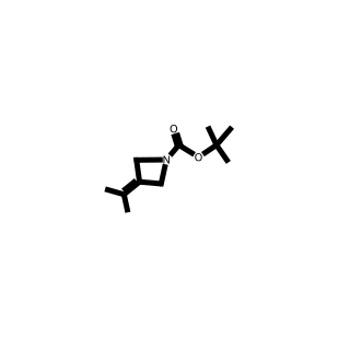 CC(C)=C1CN(C(=O)OC(C)(C)C)C1